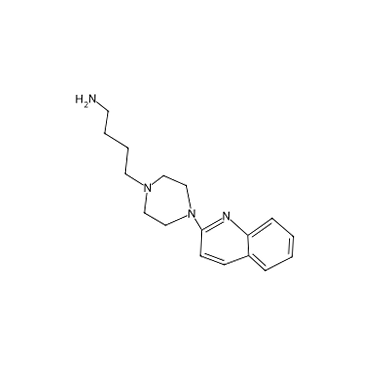 NCCCCN1CCN(c2ccc3ccccc3n2)CC1